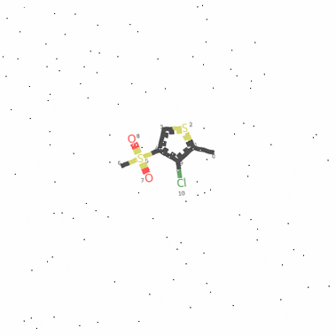 Cc1scc(S(C)(=O)=O)c1Cl